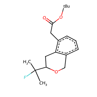 CC(C)(C)OC(=O)Cc1cccc2c1CC(C(C)(C)F)OC2